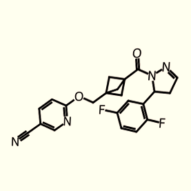 N#Cc1ccc(OCC23CC(C(=O)N4N=CCC4c4cc(F)ccc4F)(C2)C3)nc1